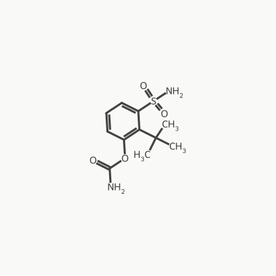 CC(C)(C)c1c(OC(N)=O)cccc1S(N)(=O)=O